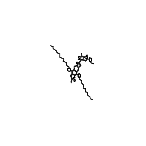 CCCCCCCCCCCCOc1c2cc3sc(-c4sc(C)c5sc(OCC)cc45)cc3cc2c(OCCCCCCCCCCCC)c2sc(C)cc12